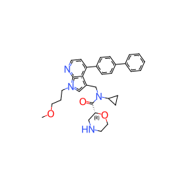 COCCCn1cc(CN(C(=O)[C@H]2CNCCO2)C2CC2)c2c(-c3ccc(-c4ccccc4)cc3)ccnc21